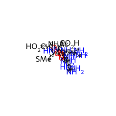 CSCCC(NC(=O)C(CCC(=O)O)NC(C)=O)C(=O)NC(CCC(=O)O)C(=O)NC(CCCNC(=N)N)C(=O)NC(CCCNC(=N)N)C(N)=O